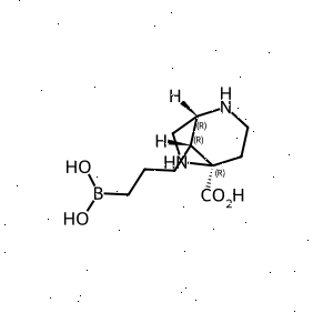 O=C(O)[C@]12CCN[C@@H](CN1)[C@H]2CCCB(O)O